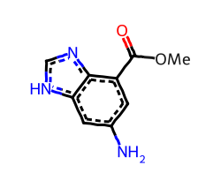 COC(=O)c1cc(N)cc2[nH]cnc12